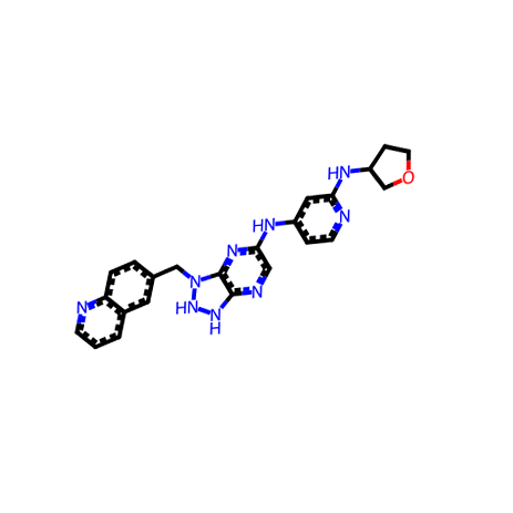 c1cnc2ccc(CN3NNc4ncc(Nc5ccnc(NC6CCOC6)c5)nc43)cc2c1